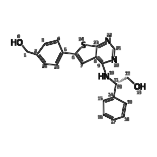 OCc1ccc(-c2cc3c(N[C@H](CO)c4ccccc4)ncnc3s2)cc1